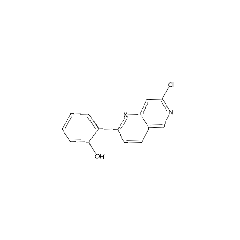 Oc1ccccc1-c1ccc2cnc(Cl)cc2n1